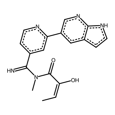 C/C=C(/O)C(=O)N(C)C(=N)c1ccnc(-c2cnc3[nH]ccc3c2)c1